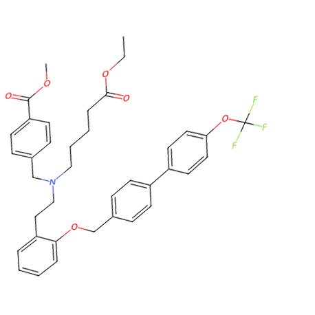 CCOC(=O)CCCCN(CCc1ccccc1OCc1ccc(-c2ccc(OC(F)(F)F)cc2)cc1)Cc1ccc(C(=O)OC)cc1